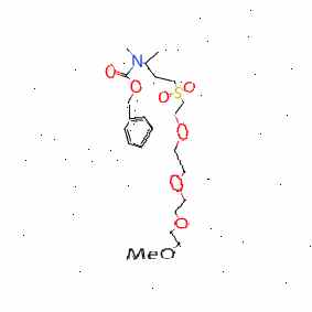 COCCOCCOCCOCCS(=O)(=O)CCC(C)N(C)C(=O)OCc1ccccc1